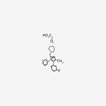 Cc1nn(C[C@H]2CC[C@H](COCC(=O)O)CC2)c(-c2ccccc2)c1-c1cccc(F)c1